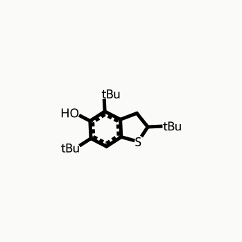 CC(C)(C)c1cc2c(c(C(C)(C)C)c1O)CC(C(C)(C)C)S2